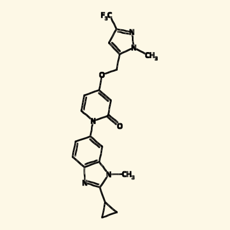 Cn1nc(C(F)(F)F)cc1COc1ccn(-c2ccc3nc(C4CC4)n(C)c3c2)c(=O)c1